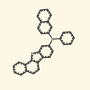 c1ccc(N(c2ccc3ccccc3c2)c2ccc3c(c2)sc2c4ccccc4ccc32)cc1